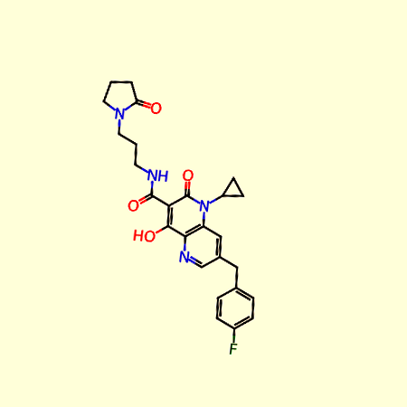 O=C(NCCCN1CCCC1=O)c1c(O)c2ncc(Cc3ccc(F)cc3)cc2n(C2CC2)c1=O